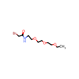 CCOCCOCCOCCNC(=O)CBr